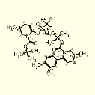 C[C@H]1CC=C(OS(=O)(=O)C(F)(F)F)N(C(=O)OC(C)(C)C)C1.Cc1ccc(C2=CC[C@H](C)CN2C(=O)OC(C)(C)C)cc1C